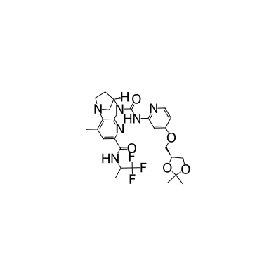 Cc1cc(C(=O)NC(C)C(F)(F)F)nc2c1N1CC[C@@H](C1)N2C(=O)Nc1cc(OC[C@H]2COC(C)(C)O2)ccn1